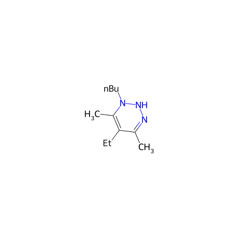 CCCCN1NN=C(C)C(CC)=C1C